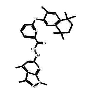 Cc1cc2c(cc1Oc1cccc(C(=O)NNc3cc(C)c4c(C)nn(C)c4n3)n1)C(C)(C)CCC2(C)C